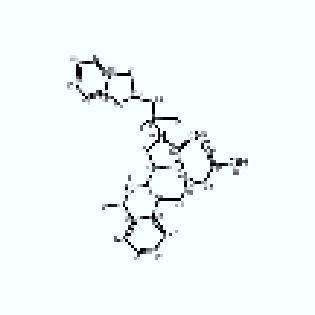 C[C@@H](OC[C@H]1CN(C(C)(C)CC2Cc3ccccc3C2)C(=O)O1)c1ccccc1CCOCC(=O)O